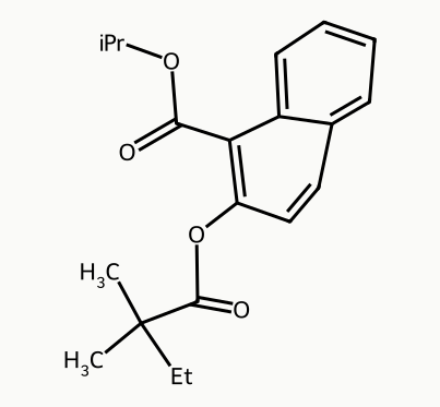 CCC(C)(C)C(=O)Oc1ccc2ccccc2c1C(=O)OC(C)C